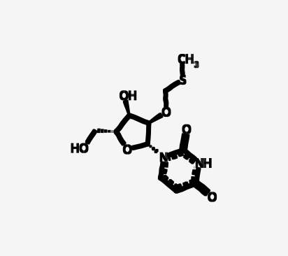 CSCO[C@@H]1[C@H](O)[C@@H](CO)O[C@H]1n1ccc(=O)[nH]c1=O